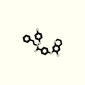 O=C(c1ccc(Oc2cc3c(cc2Cl)CCCO3)cc1)N(CCc1ccccc1)Oc1ccc(Cl)cc1